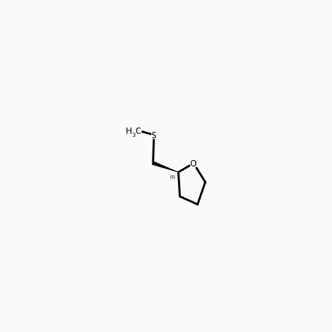 CSC[C@@H]1CCCO1